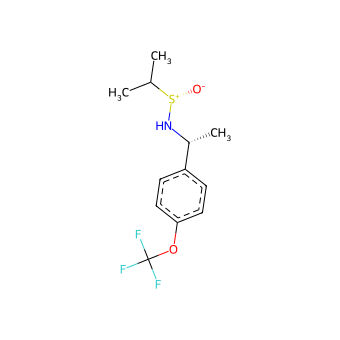 CC(C)[S@+]([O-])N[C@H](C)c1ccc(OC(F)(F)F)cc1